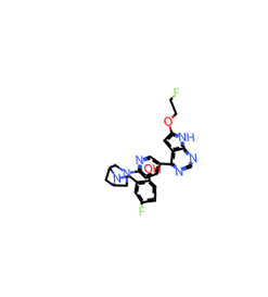 Oc1ccc(F)cc1CN1C2CC1CN(c1ccc(-c3ncnc4[nH]c(OCCF)cc34)cn1)C2